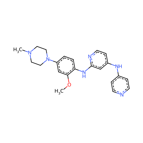 COc1cc(N2CCN(C)CC2)ccc1Nc1cc(Nc2ccncc2)ccn1